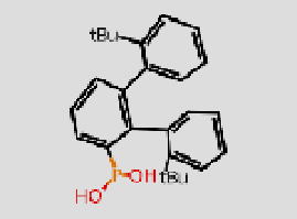 CC(C)(C)c1ccccc1-c1cccc(P(O)O)c1-c1ccccc1C(C)(C)C